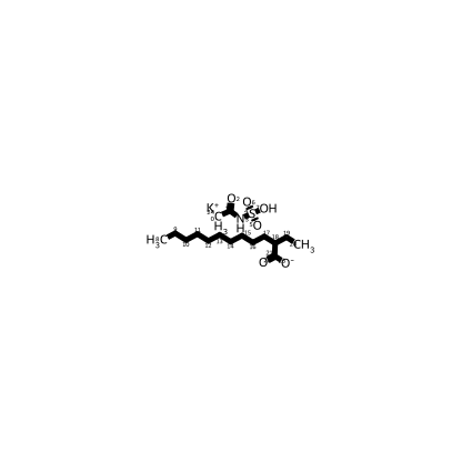 CC(=O)NS(=O)(=O)O.CCCCCCCCCCC(CC)C(=O)[O-].[K+]